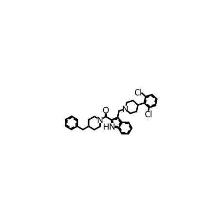 O=C(c1[nH]c2ccccc2c1CN1CCC(c2c(Cl)cccc2Cl)CC1)N1CCC(Cc2ccccc2)CC1